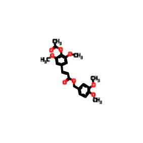 COc1ccc(COC(=O)/C=C/c2cc(OC)c(OC(C)=O)c(OC)c2)cc1OC